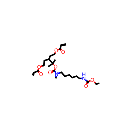 C=CC(=O)OCCC(CCOC(=O)C=C)C(C)(C)OC(=O)N(C)CCCCCCNC(=O)OCC